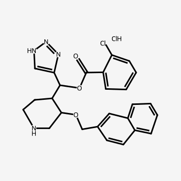 Cl.O=C(OC(c1c[nH]nn1)C1CCNCC1OCc1ccc2ccccc2c1)c1ccccc1Cl